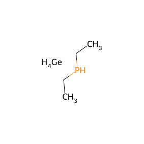 CCPCC.[GeH4]